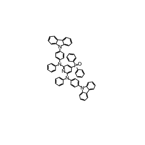 O=P(c1ccccc1)(c1ccccc1)c1cc(N(c2ccccc2)c2ccc(-n3c4ccccc4c4ccccc43)cc2)nc(N(c2ccccc2)c2ccc(-n3c4ccccc4c4ccccc43)cc2)c1